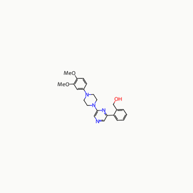 COc1ccc(N2CCN(c3cncc(-c4ccccc4CO)n3)CC2)cc1OC